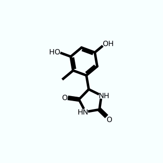 Cc1c(O)cc(O)cc1C1NC(=O)NC1=O